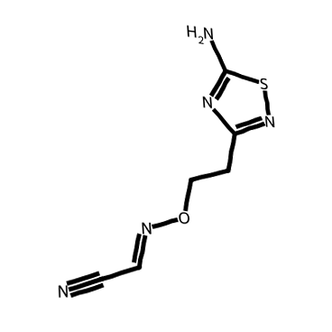 N#CC=NOCCc1nsc(N)n1